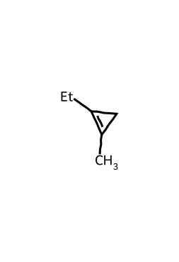 CCC1=C(C)C1